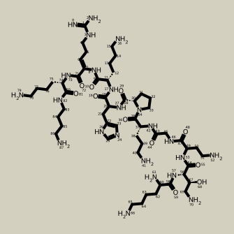 N=C(N)NCC/C=C(\NC(=O)[C@H](CCCCN)NC(=O)C(Cc1cnc[nH]1)NC(=O)[C@@H]1CCCN1C(=O)[C@@H](CCCN)NC(=O)CNC(=O)C(CCN)NC(=O)[C@@H](NC(=O)C(N)CCCCN)[C@@H](O)CN)C(=O)N[C@@H](CCCCN)C(=O)NCCCCN